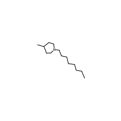 [CH2]C1CCN(CCCCCCCC)CC1